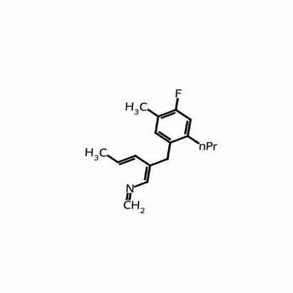 C=N/C=C(\C=C\C)Cc1cc(C)c(F)cc1CCC